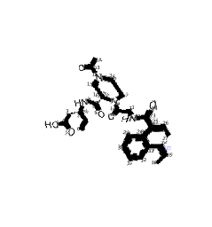 C=C[C@H](CC(=O)O)NC(=O)[C@@H]1CN(C(C)=O)CCN1C(=O)CNC(=O)C(=CC)c1ccccc1/C=C\C